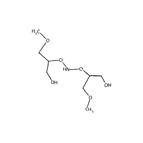 COCC(CO)ONOC(CO)COC